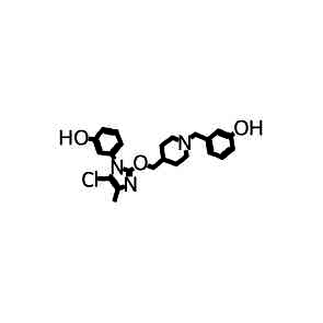 Cc1nc(OCC2CCN(Cc3cccc(O)c3)CC2)n(-c2cccc(O)c2)c1Cl